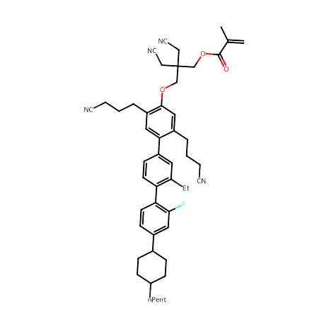 C=C(C)C(=O)OCC(CC#N)(CC#N)COc1cc(CCCC#N)c(-c2ccc(-c3ccc(C4CCC(CCCCC)CC4)cc3F)c(CC)c2)cc1CCCC#N